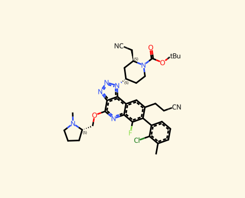 Cc1cccc(-c2c(CCC#N)cc3c(nc(OC[C@@H]4CCCN4C)c4nnn([C@H]5CCN(C(=O)OC(C)(C)C)[C@H](CC#N)C5)c43)c2F)c1Cl